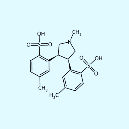 Cc1ccc(S(=O)(=O)O)c([C@H]2CN(C)C[C@H]2c2cc(C)ccc2S(=O)(=O)O)c1